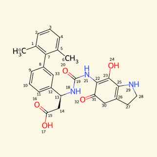 Cc1cccc(C)c1-c1cccc([C@H](CC(=O)O)NC(=O)NC2=C(O)C3=C(CCN3)CC2=O)c1